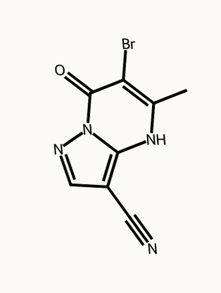 Cc1[nH]c2c(C#N)cnn2c(=O)c1Br